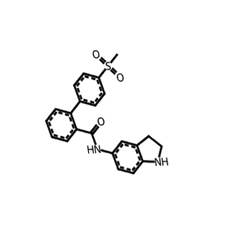 CS(=O)(=O)c1ccc(-c2ccccc2C(=O)Nc2ccc3c(c2)CCN3)cc1